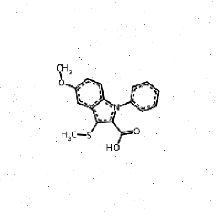 COc1ccc2c(c1)c(SC)c(C(=O)O)n2-c1ccccc1